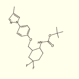 Cc1cnn(-c2ccc(OCC3CC(F)(F)CCC3NC(=O)OC(C)(C)C)cc2)c1